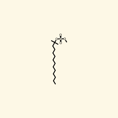 CCCCCCCCCCCCC(C)(C)OS(=O)(=O)OC